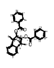 CC12OC(C)(c3ccccc31)[C@@H](OC(=O)c1ccccc1)[C@H]2OC(=O)c1ccccc1